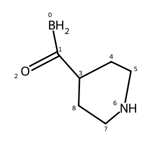 BC(=O)C1CCNCC1